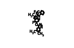 Cc1cc2ncnc(Oc3ccc4c(cc(C)n4C(=O)Nc4ccccc4C(F)(F)F)c3F)c2cc1C